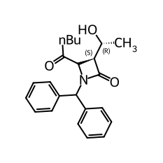 CCCCC(=O)C1[C@@H]([C@@H](C)O)C(=O)N1C(c1ccccc1)c1ccccc1